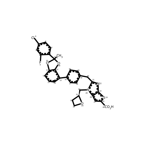 CC1(c2ccc(Cl)cc2F)Oc2cccc(-c3ccc(Cc4nc5sc(C(=O)O)cc5n4C[C@@H]4CCO4)cc3)c2O1